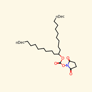 CCCCCCCCCCCCCCCCCCC(CCCCCCCCCCCCCCCCCC)OC(=O)ON1C(=O)CCC1=O